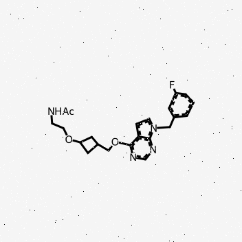 CC(=O)NCCOC1CC(COc2ncnc3c2ccn3Cc2cccc(F)c2)C1